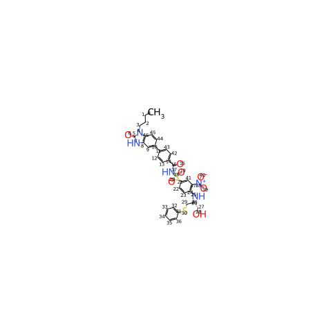 CCCCn1c(=O)[nH]c2cc(-c3ccc(C(=O)NS(=O)(=O)c4ccc(N[C@H](CO)CSc5ccccc5)c([N+](=O)[O-])c4)cc3)ccc21